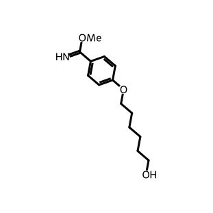 COC(=N)c1ccc(OCCCCCCO)cc1